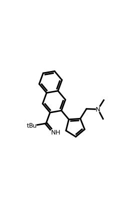 CN(C)CC1=C(c2cc3ccccc3cc2C(=N)C(C)(C)C)CC=C1